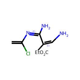 C=C(Cl)/N=C(N)\C(=C/N)C(=O)OCC